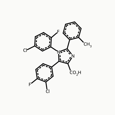 Cc1ccccc1-c1nc(C(=O)O)c(-c2ccc(F)c(Cl)c2)n1-c1cc(Cl)ccc1F